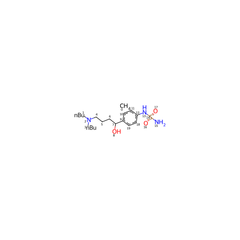 C.CCCCN(CCCC)CCCC(O)c1ccc(NS(N)(=O)=O)cc1